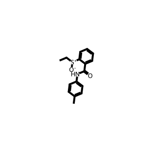 CC[S+]([O-])c1ccccc1C(=O)Nc1ccc(C)cc1